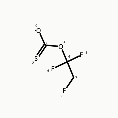 [O]C(=S)OC(F)(F)CF